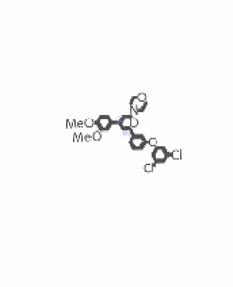 COc1ccc(C(/C=C/c2cccc(Oc3cc(Cl)cc(Cl)c3)c2)=C/C(=O)N2CCOCC2)cc1OC